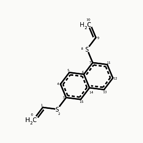 C=CSc1ccc2c(SC=C)cccc2c1